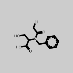 O=C(O)C(CO)N(Cc1ccccc1)C(=O)CCl